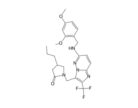 CCCC1CC(=O)N(Cc2c(C(F)(F)F)nc3ccc(NCc4ccc(OC)cc4OC)nn23)C1